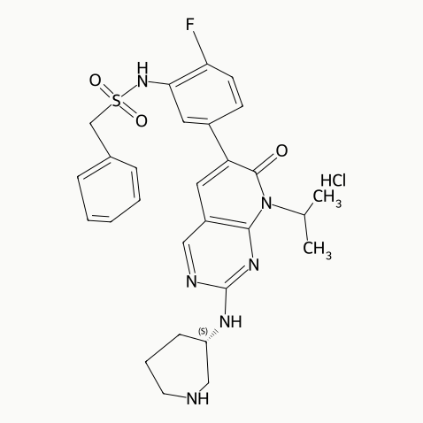 CC(C)n1c(=O)c(-c2ccc(F)c(NS(=O)(=O)Cc3ccccc3)c2)cc2cnc(N[C@H]3CCCNC3)nc21.Cl